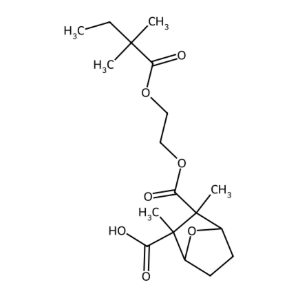 CCC(C)(C)C(=O)OCCOC(=O)C1(C)C2CCC(O2)C1(C)C(=O)O